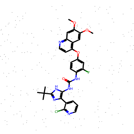 COc1cc2nccc(Oc3ccc(NC(=O)Nc4[nH]c(C(C)(C)C)nc4-c4cccnc4Cl)c(F)c3)c2cc1OC